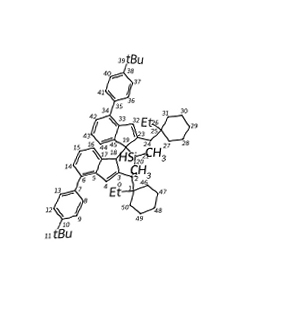 CCC1(CC2=Cc3c(-c4ccc(C(C)(C)C)cc4)cccc3C2C2([SiH](C)C)C(CC3(CC)CCCCC3)=Cc3c(-c4ccc(C(C)(C)C)cc4)cccc32)CCCCC1